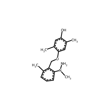 Cc1cc(OCc2c(C)cccc2N(C)N)c(C)cc1O